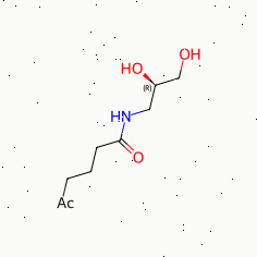 CC(=O)CCCC(=O)NC[C@@H](O)CO